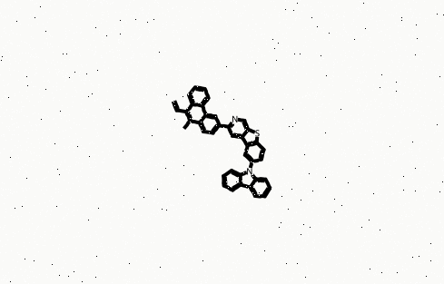 C=Cc1c(C)c2ccc(-c3cc4c(cn3)sc3ccc(-n5c6ccccc6c6ccccc65)cc34)cc2c2ccccc12